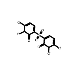 O=C1C(S(=O)(=O)C2=CC=C(Cl)C(Cl)C2=O)=CC=C(Cl)C1Cl